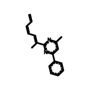 C=C/C=C\C=C(/C)c1nc(C)cc(-c2ccccc2)n1